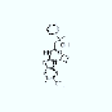 Cc1cc2nc(NC(=O)CC(C)(O)c3ccccc3)n(C3CCC3)c2nc1C(F)(F)F